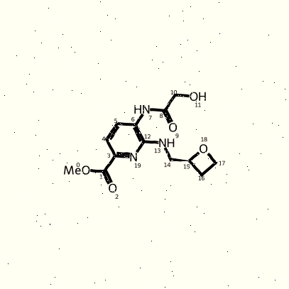 COC(=O)c1ccc(NC(=O)CO)c(NC[C@@H]2CCO2)n1